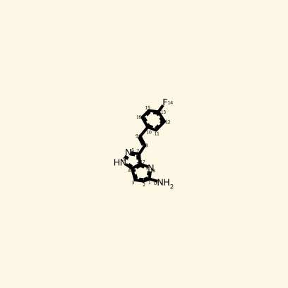 Nc1ccc2[nH]nc(C=Cc3ccc(F)cc3)c2n1